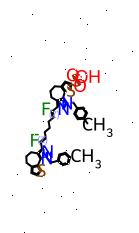 Cc1ccc(Cn2nc(/C(F)=C/CCC/C=C(\F)c3nn(Cc4ccc(C)cc4)c4c3CCCc3cc(S(=O)(=O)O)sc3-4)c3c2-c2sccc2CCC3)cc1